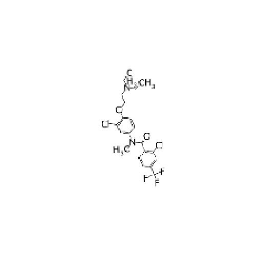 CCN(CC)CCOc1ccc(N(C)C(=O)c2ccc(C(F)(F)F)cc2Cl)cc1Cl